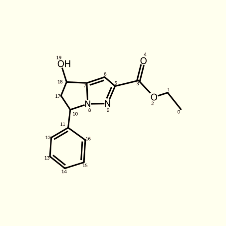 CCOC(=O)c1cc2n(n1)C(c1ccccc1)CC2O